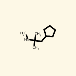 CNC(C)(C)CC1CCCC1